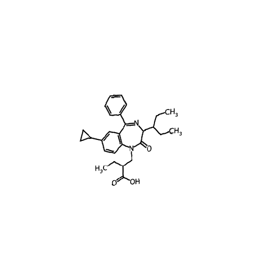 CCC(CN1C(=O)C(C(CC)CC)N=C(c2ccccc2)c2cc(C3CC3)ccc21)C(=O)O